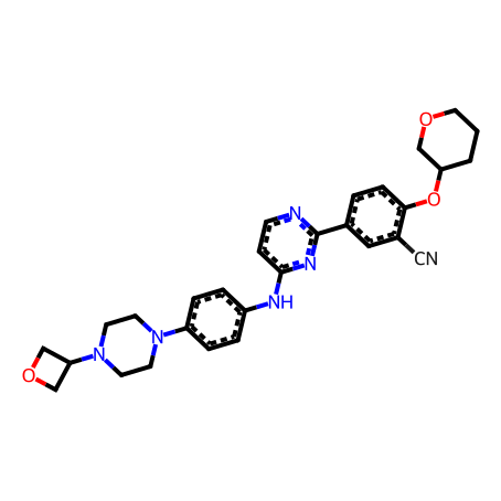 N#Cc1cc(-c2nccc(Nc3ccc(N4CCN(C5COC5)CC4)cc3)n2)ccc1OC1CCCOC1